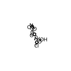 CCN(Cc1ccc(OCCn2c(=O)ccn(C)c2=O)c(OC)c1)C(c1ccc(Cl)cc1)C(C)C(=O)O